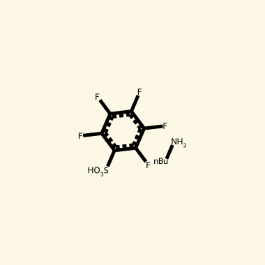 CCCCN.O=S(=O)(O)c1c(F)c(F)c(F)c(F)c1F